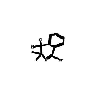 CC1(C)N=C(Br)c2ccccc2C1(Cl)Cl